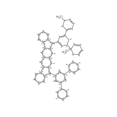 CC1C=CC=C(C2=CC(n3c4ccccc4c4cc5cc6c7ccccc7n(-c7nc(-c8ccccc8)nc(-c8ccccc8)n7)c6cc5cc43)=CC(C3(C)C=CC=CC3)C2)C1